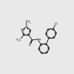 Cn1cc(C(=O)Nc2ccccc2-c2ccc(Cl)cc2)c(C(F)(F)F)n1